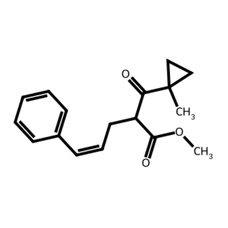 COC(=O)C(C/C=C\c1ccccc1)C(=O)C1(C)CC1